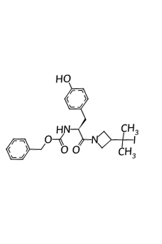 CC(C)(I)C1CN(C(=O)[C@H](Cc2ccc(O)cc2)NC(=O)OCc2ccccc2)C1